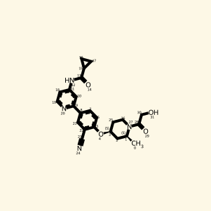 C[C@H]1C[C@@H](Oc2ccc(-c3cc(NC(=O)C4CC4)ccn3)cc2C#N)CCN1C(=O)CO